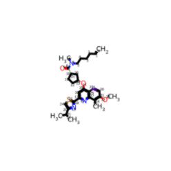 C=CCCCCN(C)C(=O)[C@H]1CC[C@@H](Oc2cc(-c3nc(C(C)C)cs3)nc3c2I=CC(OC)=C3C)C1